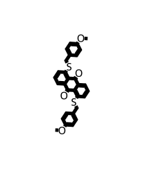 COc1ccc(CSc2cccc3c2C(=O)c2cccc(SCc4ccc(OC)cc4)c2C3=O)cc1